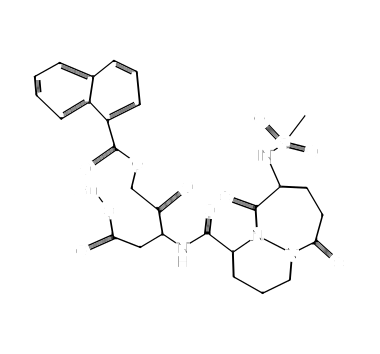 CC(C)(C)OC(=O)CC(NC(=O)C1CCCN2C(=O)CCC(NS(C)(=O)=O)C(=O)N12)C(=O)COC(=O)c1cccc2ccccc12